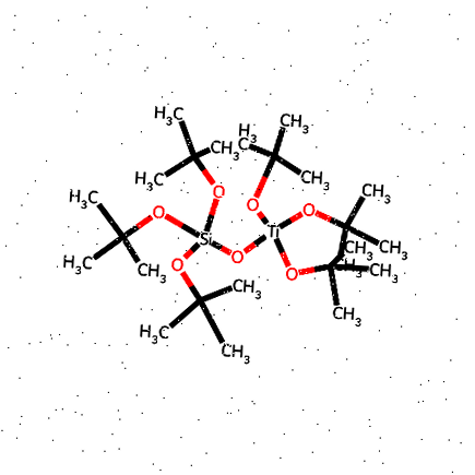 CC(C)(C)O[Si](OC(C)(C)C)(OC(C)(C)C)[O][Ti]([O]C(C)(C)C)([O]C(C)(C)C)[O]C(C)(C)C